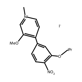 COc1c[n+](C)ccc1-c1ccc([N+](=O)[O-])c(OC(C)C)c1.[I-]